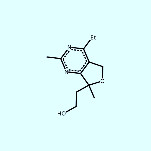 CCc1nc(C)nc2c1COC2(C)CCO